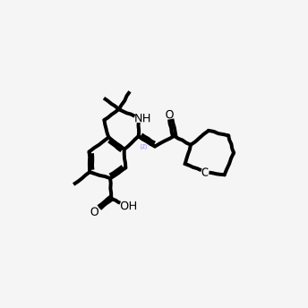 Cc1cc2c(cc1C(=O)O)/C(=C/C(=O)C1CCCCCC1)NC(C)(C)C2